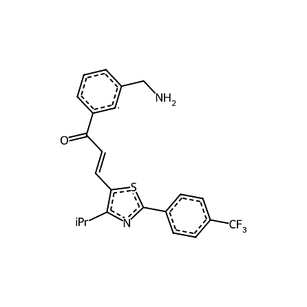 CC(C)c1nc(-c2ccc(C(F)(F)F)cc2)sc1C=CC(=O)c1[c]c(CN)ccc1